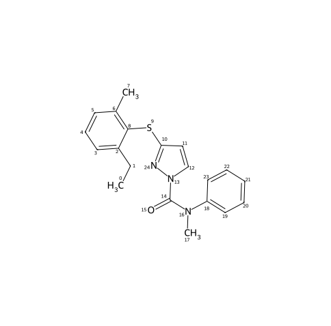 CCc1cccc(C)c1Sc1ccn(C(=O)N(C)c2ccccc2)n1